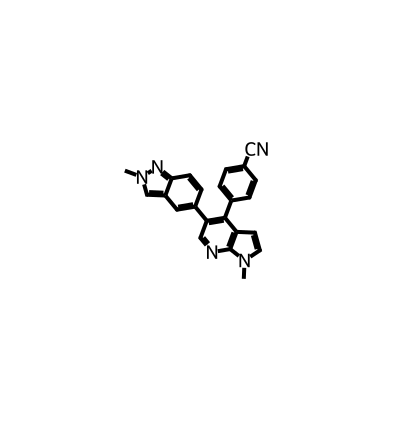 Cn1cc2cc(-c3cnc4c(ccn4C)c3-c3ccc(C#N)cc3)ccc2n1